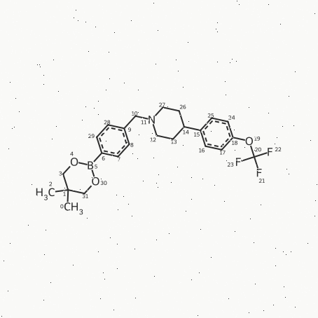 CC1(C)COB(c2ccc(CN3CCC(c4ccc(OC(F)(F)F)cc4)CC3)cc2)OC1